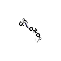 Cc1cccnc1N1C(=O)CS/C1=N\N=C\c1ccc(-c2ncn(-c3ccc(OC(F)(F)F)cc3)n2)cc1